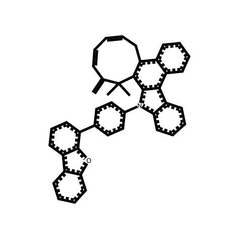 C=C1/C=C\C=C/Cc2c(c3c(c4ccccc24)c2ccccc2n3-c2ccc(-c3cccc4c3oc3ccccc34)cc2)C1(C)C